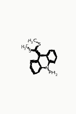 CSC(SC)=C1c2ccccc2N(P)c2ccccc21